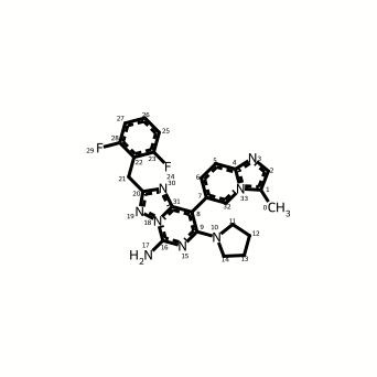 Cc1cnc2ccc(-c3c(N4CCCC4)nc(N)n4nc(Cc5c(F)cccc5F)nc34)cn12